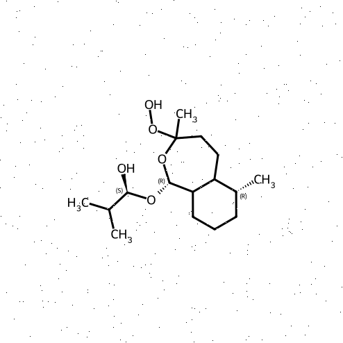 CC(C)[C@@H](O)O[C@@H]1OC(C)(OO)CCC2C1CCC[C@H]2C